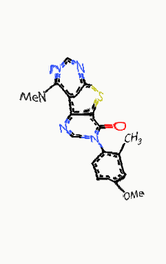 CNc1ncnc2sc3c(=O)n(-c4ccc(OC)cc4C)cnc3c12